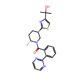 C[C@@H]1CC[C@@H](c2nc(C(C)(C)O)cs2)CN1C(=O)c1ccccc1-c1ncccn1